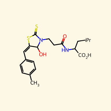 Cc1ccc(/C=C2/SC(=S)N(CCC(=O)NC(CC(C)C)C(=O)O)C2O)cc1